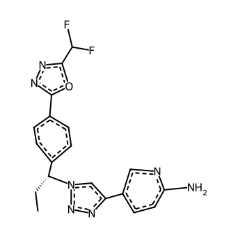 CC[C@H](c1ccc(-c2nnc(C(F)F)o2)cc1)n1cc(-c2ccc(N)nc2)nn1